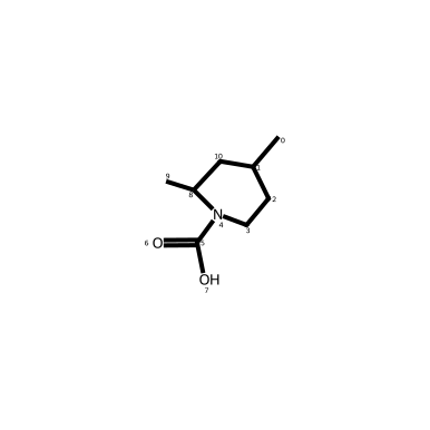 CC1CCN(C(=O)O)C(C)C1